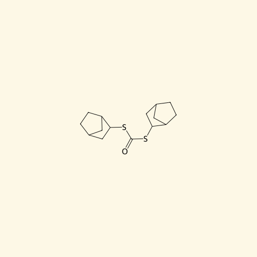 O=C(SC1CC2CCC1C2)SC1CC2CCC1C2